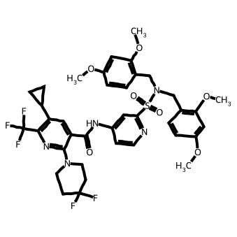 COc1ccc(CN(Cc2ccc(OC)cc2OC)S(=O)(=O)c2cc(NC(=O)c3cc(C4CC4)c(C(F)(F)F)nc3N3CCC(F)(F)CC3)ccn2)c(OC)c1